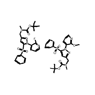 CN(Cc1cc(S(=O)(=O)c2ccccc2)n(-c2cccnc2F)n1)C(=O)OC(C)(C)C.COc1ncccc1-n1nc(CN(C)C(=O)OC(C)(C)C)cc1S(=O)(=O)c1ccccc1